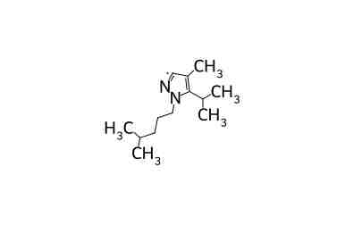 Cc1[c]nn(CCCC(C)C)c1C(C)C